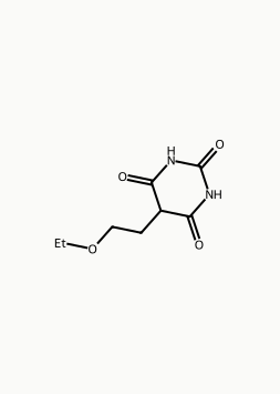 CCOCCC1C(=O)NC(=O)NC1=O